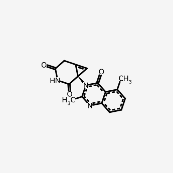 Cc1cccc2nc(C)n([C@]34C=C3CC(=O)NC4=O)c(=O)c12